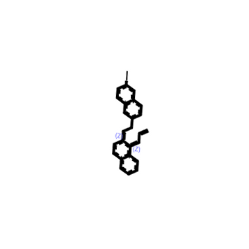 C=C/C=c1\c(=C/Cc2ccc3cc(I)ccc3c2)ccc2ccccc12